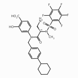 CN([C@H](CN)C(=O)N(Cc1ccc(C2CCCCC2)cc1)c1ccc(C(=O)O)c(O)c1)S(=O)(=O)c1c(F)c(F)c(F)c(F)c1F